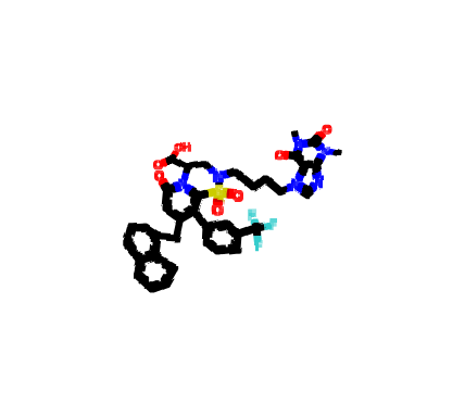 Cn1c(=O)c2c(ncn2CCCCN2CC(C(=O)O)n3c(c(-c4cccc(C(F)(F)F)c4)c(Cc4cccc5ccccc45)cc3=O)S2(=O)=O)n(C)c1=O